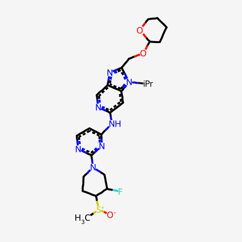 CC(C)n1c(COC2CCCCO2)nc2cnc(Nc3ccnc(N4CCC([S+](C)[O-])C(F)C4)n3)cc21